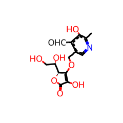 Cc1ncc(COC2=C(O)C(=O)O[C@@H]2[C@@H](O)CO)c(C=O)c1O